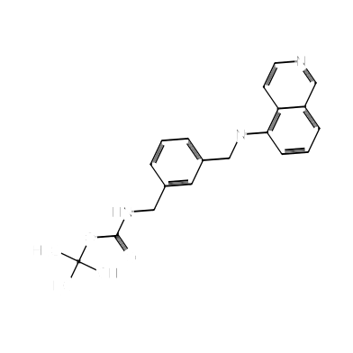 CC(C)(C)OC(=O)NCc1cccc(CNc2cccc3cnccc23)c1